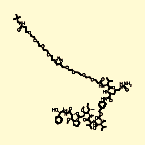 CC[C@H](C)[C@@H]([C@@H](CC(=O)N1CCC[C@H]1[C@H](OC)[C@@H](C)C(=O)N[C@H](C)[C@@H](O)c1ccccc1)OC)N(C)C(=O)[C@@H](NC(=O)[C@H](C(C)C)N(C)C(=O)OCc1ccc(NC(=O)[C@H](CCCNC(N)=O)NC(=O)[C@@H](NC(=O)CCOCCOCCOCCOCc2cn(CCOCCOCCOCCOCCC(=O)NCC(C)(C)C)nn2)C(C)C)cc1)C(C)C